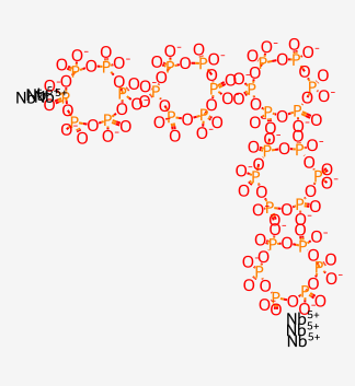 O=P1([O-])OP(=O)([O-])OP(=O)([O-])OP(=O)([O-])OP(=O)([O-])OP(=O)([O-])O1.O=P1([O-])OP(=O)([O-])OP(=O)([O-])OP(=O)([O-])OP(=O)([O-])OP(=O)([O-])O1.O=P1([O-])OP(=O)([O-])OP(=O)([O-])OP(=O)([O-])OP(=O)([O-])OP(=O)([O-])O1.O=P1([O-])OP(=O)([O-])OP(=O)([O-])OP(=O)([O-])OP(=O)([O-])OP(=O)([O-])O1.O=P1([O-])OP(=O)([O-])OP(=O)([O-])OP(=O)([O-])OP(=O)([O-])OP(=O)([O-])O1.[Nb+5].[Nb+5].[Nb+5].[Nb+5].[Nb+5].[Nb+5]